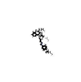 CCc1nc2c(N)nc3ccccc3c2n1CCC/C=C/c1ccc(OC)cc1